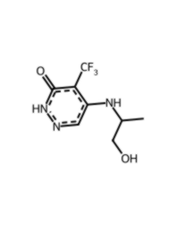 CC(CO)Nc1cn[nH]c(=O)c1C(F)(F)F